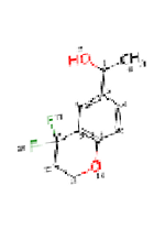 CC(O)c1ccc2c(c1)C(F)(F)CCO2